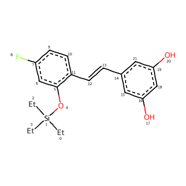 CC[Si](CC)(CC)Oc1cc(F)ccc1/C=C/c1cc(O)cc(O)c1